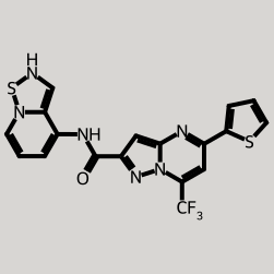 O=C(NC1=CC=CN2SNC=C12)c1cc2nc(-c3cccs3)cc(C(F)(F)F)n2n1